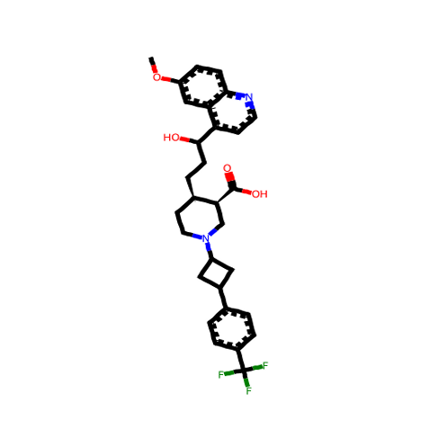 COc1ccc2nccc(C(O)CC[C@@H]3CCN(C4CC(c5ccc(C(F)(F)F)cc5)C4)C[C@@H]3C(=O)O)c2c1